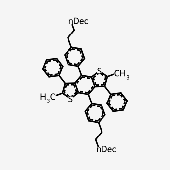 CCCCCCCCCCCCc1ccc(-c2c3sc(C)c(-c4ccccc4)c3c(-c3ccc(CCCCCCCCCCCC)cc3)c3sc(C)c(-c4ccccc4)c23)cc1